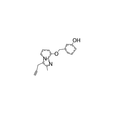 C#CCc1c(C)nc2c(OCc3cccc(O)c3)cccn12